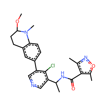 COC1CCc2cc(-c3cncc(C(C)NC(=O)c4c(C)noc4C)c3Cl)ccc2N1C